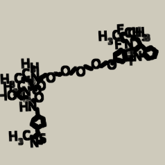 Cc1ncsc1-c1ccc(CNC(=O)[C@@H]2C[C@@H](O)CN2C(=O)[C@@H](NC(=O)COCCOCCOCCOCCOc2cc(F)c([C@@H]3c4[nH]c5ccccc5c4C[C@@H](C)N3CC(C)(C)F)c(F)c2)C(C)(C)C)cc1